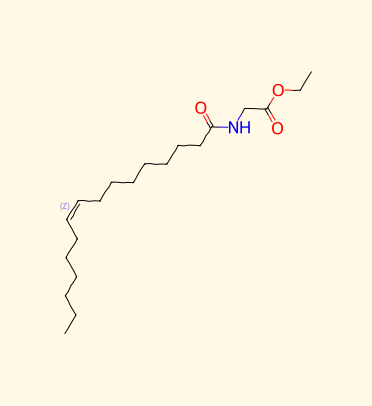 CCCCCC/C=C\CCCCCCCC(=O)NCC(=O)OCC